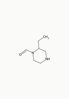 CCC1CNCCN1[C]=O